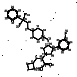 O=C(O)[C@@H](CC1CCC1)N1C[C@H](CN2CCC(CCC(F)(F)c3ccccn3)CC2)[C@@H](c2cccc(F)c2)C1